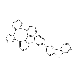 c1cc(-c2ccc3sc4cnccc4c3c2)cc(-c2cccc3c2-c2ccccc2-c2ccccc2-c2ccccc2-3)c1